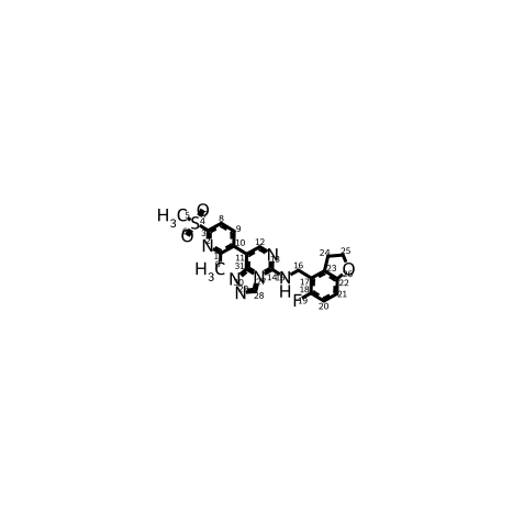 Cc1nc(S(C)(=O)=O)ccc1-c1cnc(NCc2c(F)ccc3c2CCO3)n2cnnc12